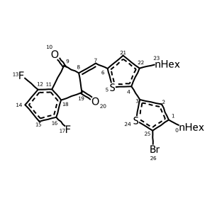 CCCCCCc1cc(-c2sc(C=C3C(=O)c4c(F)ccc(F)c4C3=O)cc2CCCCCC)sc1Br